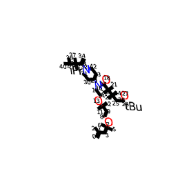 C=C(C)CC(C)(C)OCCC(C)(C)OCCN(C(=O)C(C)(C)C(C)(C)CC(=O)C(C)(C)C)C1CCN(C(=C)C(C)(C)C(C)(C)C(C)C)CC1